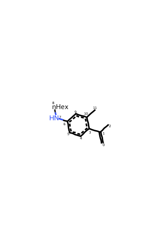 C=C(C)c1ccc(NCCCCCC)cc1C